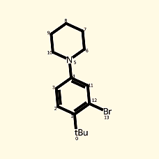 CC(C)(C)c1ccc(N2CCCCC2)cc1Br